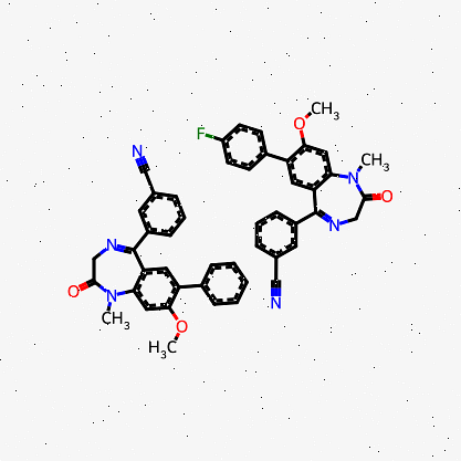 COc1cc2c(cc1-c1ccc(F)cc1)C(c1cccc(C#N)c1)=NCC(=O)N2C.COc1cc2c(cc1-c1ccccc1)C(c1cccc(C#N)c1)=NCC(=O)N2C